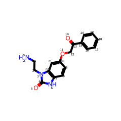 NCCn1c(=O)[nH]c2ccc(OCC(=O)c3ccccc3)cc21